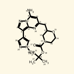 Cn1cc(-c2cnn3c(N)cc(CC4CN(C(=O)OC(C)(C)C)CCO4)nc23)cn1